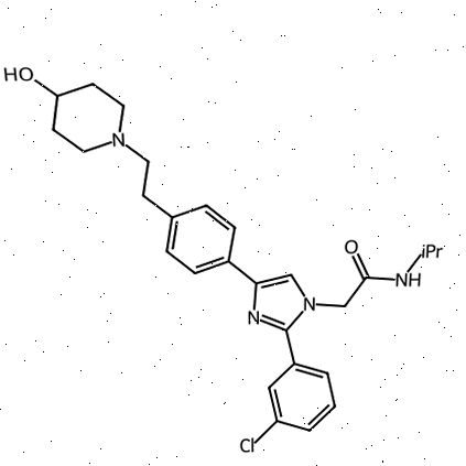 CC(C)NC(=O)Cn1cc(-c2ccc(CCN3CCC(O)CC3)cc2)nc1-c1cccc(Cl)c1